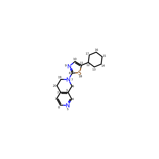 c1cc2c(cn1)CN(c1ncc(C3CCCCC3)s1)CC2